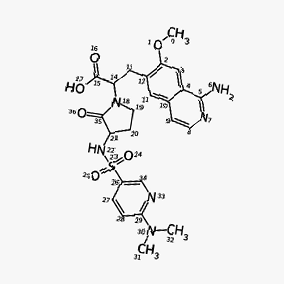 COc1cc2c(N)nccc2cc1CC(C(=O)O)N1CCC(NS(=O)(=O)c2ccc(N(C)C)nc2)C1=O